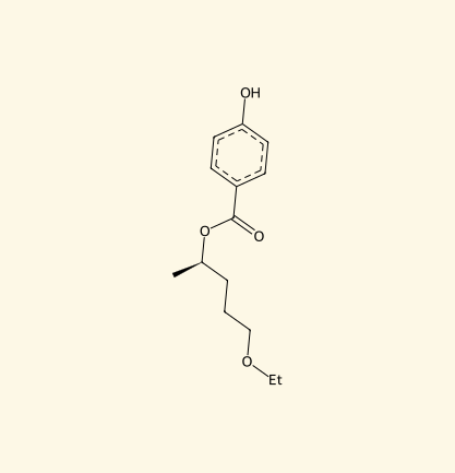 CCOCCC[C@@H](C)OC(=O)c1ccc(O)cc1